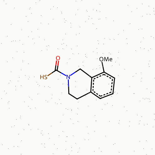 COc1cccc2c1CN(C(=O)S)CC2